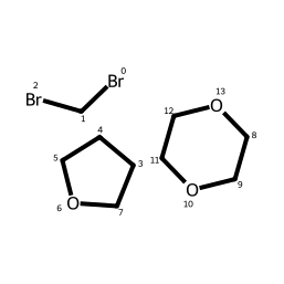 BrCBr.C1CCOC1.C1COCCO1